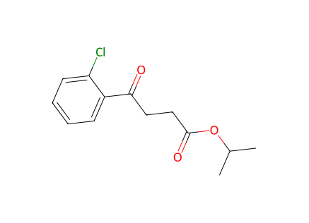 CC(C)OC(=O)CCC(=O)c1ccccc1Cl